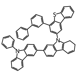 C1=Cc2c(n(-c3cc(-c4cccc(-c5ccccc5)c4)c4sc5ccccc5c4c3)c3cc(-c4ccc5c(c4)c4ccccc4n5-c4ccccc4)ccc23)CC1